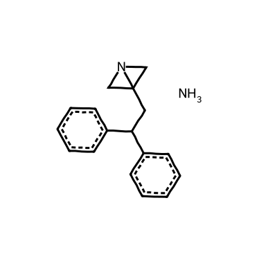 N.c1ccc(C(CC23CN2C3)c2ccccc2)cc1